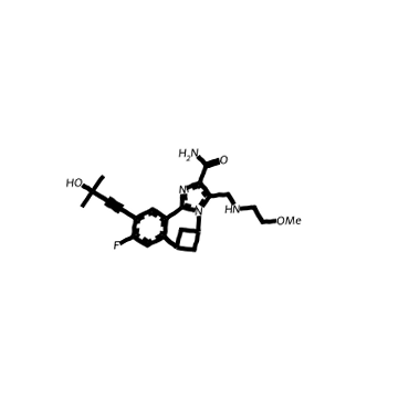 COCCNCc1c(C(N)=O)nc2n1C1CC(C1)c1cc(F)c(C#CC(C)(C)O)cc1-2